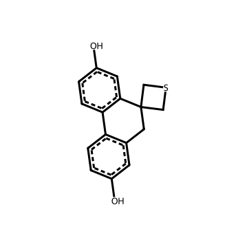 Oc1ccc2c(c1)CC1(CSC1)c1cc(O)ccc1-2